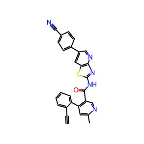 C#Cc1ccccc1-c1cc(C)ncc1C(=O)Nc1nc2ncc(-c3ccc(C#N)cc3)cc2s1